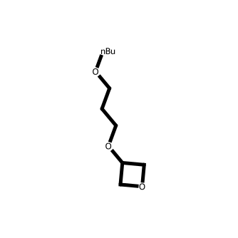 CCCCOCCCOC1COC1